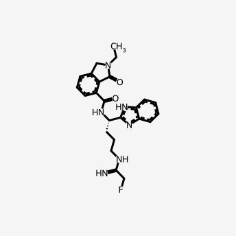 CCN1Cc2cccc(C(=O)N[C@@H](CCCNC(=N)CF)c3nc4ccccc4[nH]3)c2C1=O